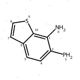 Nc1c(P)ccc2ccsc12